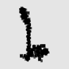 Cc1ncsc1-c1ccc(CNC(=O)[C@@H]2C[C@@H](O)CN2C(=O)[C@H](C(C)C)N2Cc3ccccc3C2=O)c(OCCOCCOCCOCCOCCOc2ccc(-c3ccc4c(c3)[nH]c3ccncc34)cn2)c1